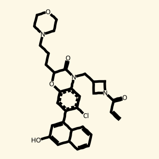 C=CC(=O)N1CC(CN2C(=O)C(CCCN3CCOCC3)Oc3cc(C4=CC(O)=CC5C=CC=CC45)c(Cl)cc32)C1